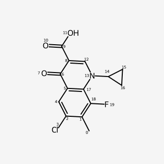 Cc1c(Cl)cc2c(=O)c(C(=O)O)cn(C3CC3)c2c1F